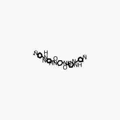 CN(C)c1ccc(-c2nc3cc(C(=O)NC4CCC(NC(=O)c5ccc6nc(-c7ccc(N(C)C)cc7)[nH]c6c5)CC4)ccc3[nH]2)cc1